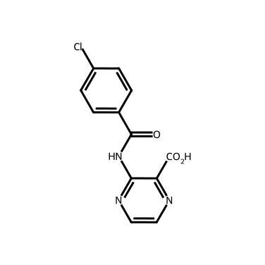 O=C(Nc1nccnc1C(=O)O)c1ccc(Cl)cc1